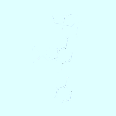 CC[Si](CC)(CC)O[C@H](CI)c1ccc(OCc2ccccc2)c(NS(C)(=O)=O)c1